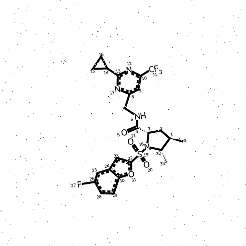 C[C@@H]1C[C@@H](C(=O)NCc2cc(C(F)(F)F)nc(C3CC3)n2)N(S(=O)(=O)c2cc3cc(F)ccc3o2)[C@H]1C